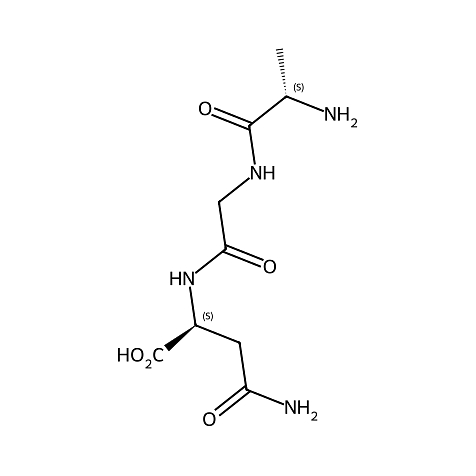 C[C@H](N)C(=O)NCC(=O)N[C@@H](CC(N)=O)C(=O)O